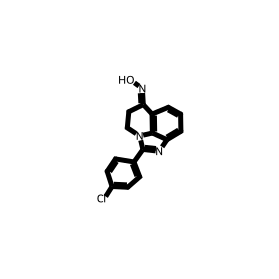 ON=C1CCn2c(-c3ccc(Cl)cc3)nc3cccc1c32